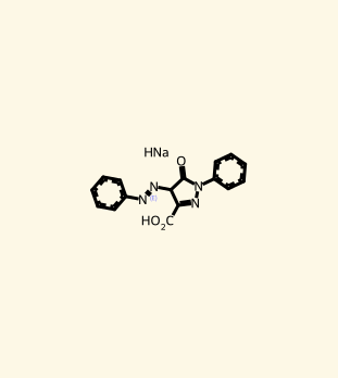 O=C(O)C1=NN(c2ccccc2)C(=O)C1/N=N/c1ccccc1.[NaH]